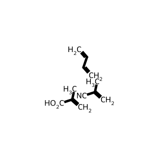 C=C(C)C#N.C=C(C)C(=O)O.C=CC=C